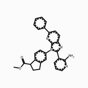 COC(=O)C1CCc2cc(-n3c(-c4cccnc4N)nc4ccc(-c5ccccc5)nc43)ccc21